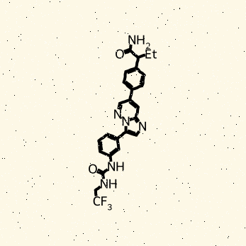 CCC(C(N)=O)c1ccc(-c2cnn3c(-c4cccc(NC(=O)NCC(F)(F)F)c4)cnc3c2)cc1